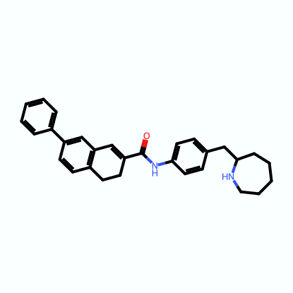 O=C(Nc1ccc(CC2CCCCCN2)cc1)C1=Cc2cc(-c3ccccc3)ccc2CC1